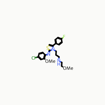 COCCNCCCn1c(-c2ccc(F)cc2)cs/c1=N\c1ccc(Cl)cc1OC